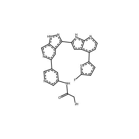 CC(C)CC(=O)Nc1cncc(-c2cc3c(-c4cc5c(-c6ccc(F)s6)ccnc5[nH]4)n[nH]c3cn2)c1